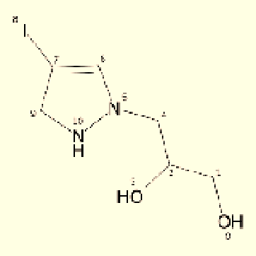 OCC(O)CN1C=C(I)CN1